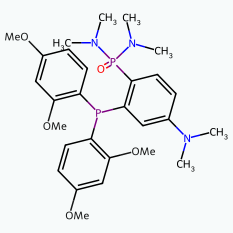 COc1ccc(P(c2ccc(OC)cc2OC)c2cc(N(C)C)ccc2P(=O)(N(C)C)N(C)C)c(OC)c1